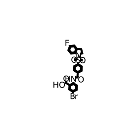 O=C(Nc1ccc(Br)cc1C(=O)O)c1ccc(S(=O)(=O)N2CCc3cc(F)ccc32)cc1